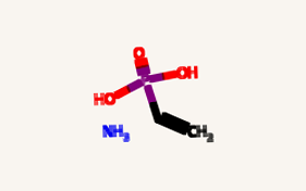 C=CP(=O)(O)O.N